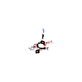 COCOc1cc(OCCCCN=[N+]=[N-])cc2c1C(=O)O[C@@H](C)[C@H](C)/C=C\C(OC(=O)c1ccccc1)[C@H]1OC(C)(C)O[C@H]1C/C=C/2